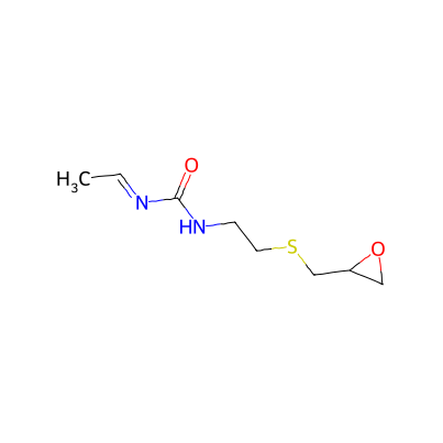 CC=NC(=O)NCCSCC1CO1